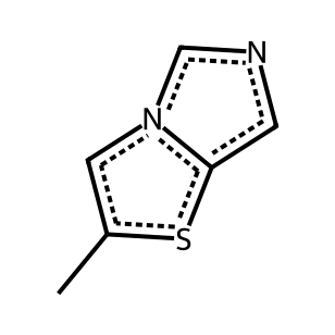 Cc1cn2cncc2s1